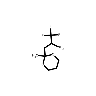 CC1(CC(N)C(F)(F)F)OCCCO1